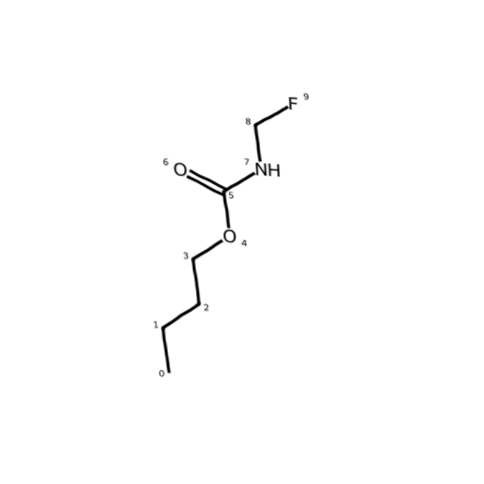 CCCCOC(=O)NCF